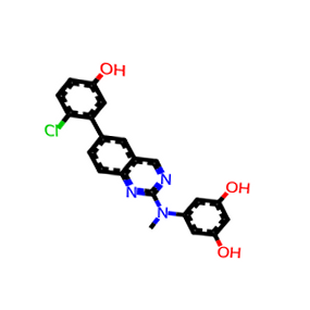 CN(c1cc(O)cc(O)c1)c1ncc2cc(-c3cc(O)ccc3Cl)ccc2n1